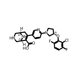 O=C(O)C1=C(c2ccc(N3CC[C@@H](Oc4c(F)ccc(F)c4Cl)C3)nc2)C[C@@H]2CNC[C@H]1N2